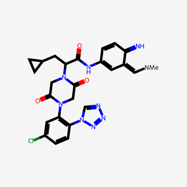 CN/C=C1/C=C(NC(=O)C(CC2CC2)N2CC(=O)N(c3cc(Cl)ccc3-n3cnnn3)CC2=O)C=CC1=N